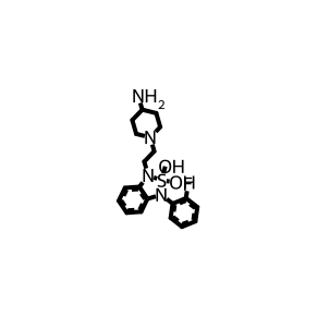 NC1CCN(CCN2c3ccccc3N(c3ccccc3F)S2(O)O)CC1